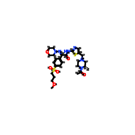 COCCCS(=O)(=O)c1ccc(/C(=N\N2CCOCC2)C(=O)Nc2ncc(CN3CCN(C(C)=O)[C@@H](C)C3)s2)cc1